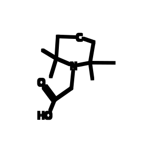 CC1(C)CCCC(C)(C)N1CC(=O)O